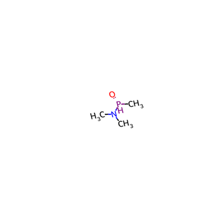 CN(C)[PH](C)=O